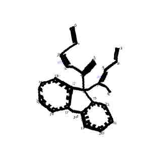 C=C/C=C\C(=C)C1(/C(C)=C/C=C)c2ccccc2-c2ccccc21